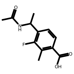 CC(=O)NC(C)c1ccc(C(=O)O)c(C)c1F